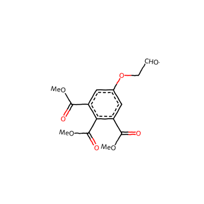 COC(=O)c1cc(OC[C]=O)cc(C(=O)OC)c1C(=O)OC